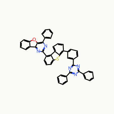 c1ccc(-c2nc(-c3ccccc3)nc(-c3cccc(-c4cccc5c4sc4cccc(-c6nc(-c7ccccc7)c7oc8ccccc8c7n6)c45)c3)n2)cc1